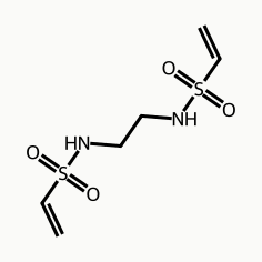 C=CS(=O)(=O)NCCNS(=O)(=O)C=C